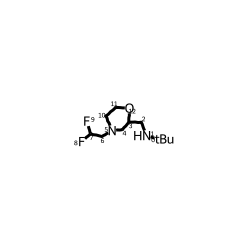 CC(C)(C)NCC1CN(CC(F)F)CCO1